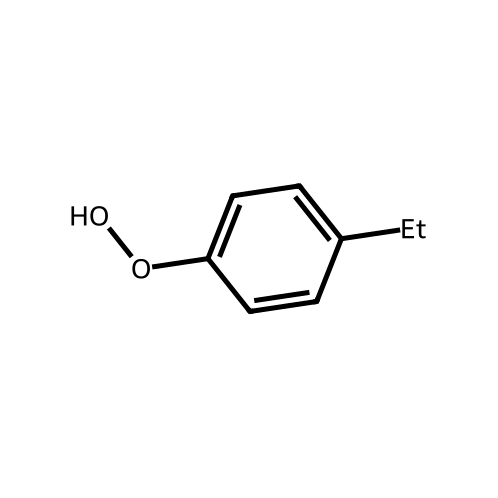 CCc1ccc(OO)cc1